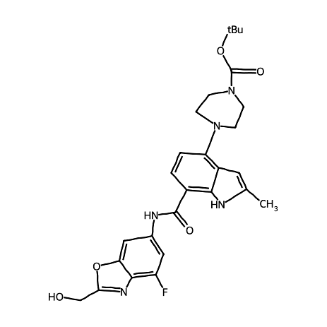 Cc1cc2c(N3CCN(C(=O)OC(C)(C)C)CC3)ccc(C(=O)Nc3cc(F)c4nc(CO)oc4c3)c2[nH]1